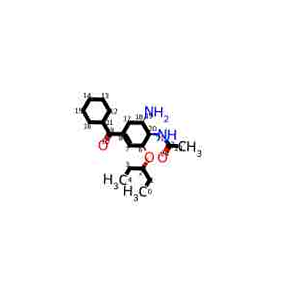 CCC(CC)O[C@@H]1C=C(C(=O)C2CCCCC2)C[C@H](N)[C@H]1NC(C)=O